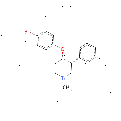 CN1CC[C@@H](Oc2ccc(Br)cc2)[C@H](c2ccccc2)C1